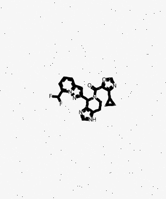 O=C(c1ocnc1C1CC1)N1CCc2[nH]cnc2C1c1cc2cccc(C(F)F)n2n1